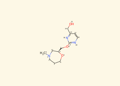 CN1CCCO[C@H](COc2nccc(CO)n2)C1